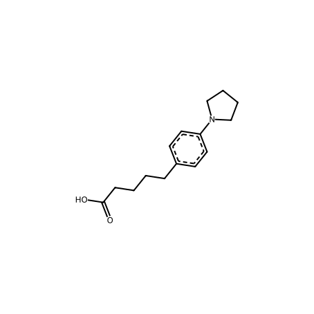 O=C(O)CCCCc1ccc(N2CCCC2)cc1